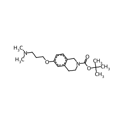 CN(C)CCCOc1ccc2c(c1)CCN(C(=O)OC(C)(C)C)C2